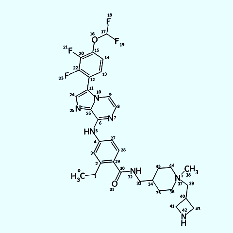 CCc1cc(Nc2nccn3c(-c4ccc(OC(F)F)c(F)c4F)cnc23)ccc1C(=O)NCC1CC[N+](C)(CC2CNC2)CC1